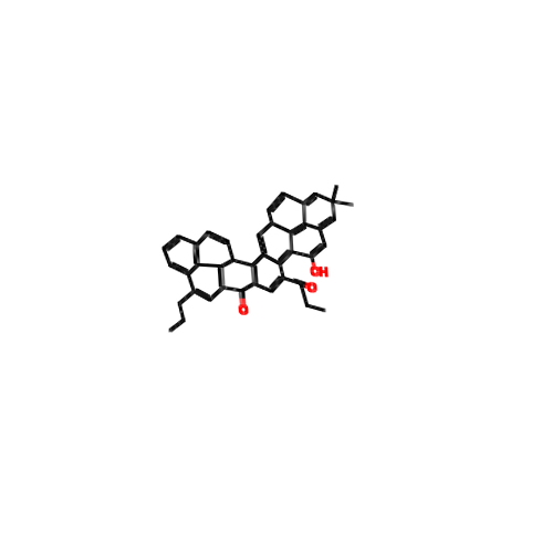 CCCc1cc2c3c4c(cccc14)C=CC3c1c(cc(C(=O)CC)c3c1=CC1C=CC4=CC(C)(C)C=c5cc(O)c=3c1c54)C2=O